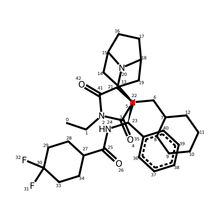 CCN1C(=O)N(CC2CCCCC2)C2(CC3CCC(C2)N3CC[C@H](NC(=O)C2CCC(F)(F)CC2)c2ccccc2)C1=O